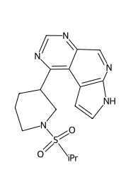 CC(C)S(=O)(=O)N1CCCC(c2ncnc3cnc4[nH]ccc4c23)C1